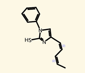 C/C=C\C=C/c1cn(-c2ccccc2)c(S)n1